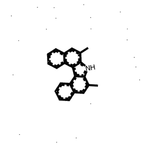 Cc1cc2ccccc2c2c1[nH]c1c(C)cc3ccccc3c12